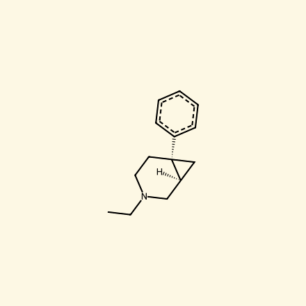 CCN1CC[C@@]2(c3ccccc3)C[C@H]2C1